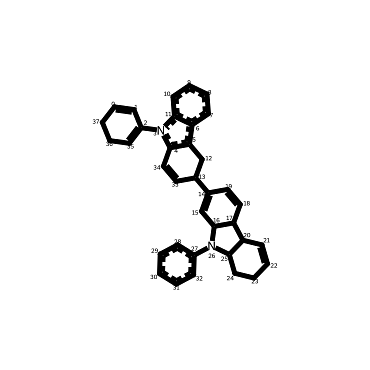 C1=CC(n2c3c(c4ccccc42)CC(C2=CC4C(C=C2)C2C=CCCC2N4c2ccccc2)C=C3)=CCC1